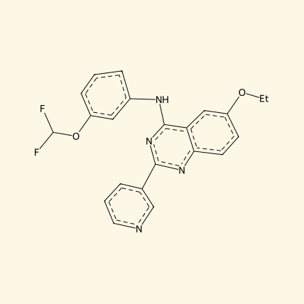 CCOc1ccc2nc(-c3cccnc3)nc(Nc3cccc(OC(F)F)c3)c2c1